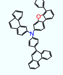 c1ccc(-c2cccc3c2oc2cc(N(c4ccc(-c5cc6ccccc6c6ccccc56)cc4)c4ccc5ccc6ccccc6c5c4)ccc23)cc1